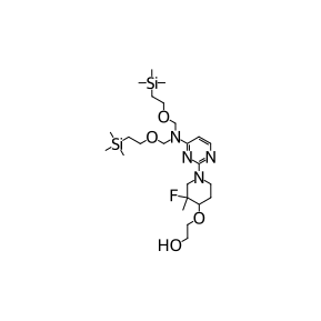 CC1(F)CN(c2nccc(N(COCC[Si](C)(C)C)COCC[Si](C)(C)C)n2)CCC1OCCO